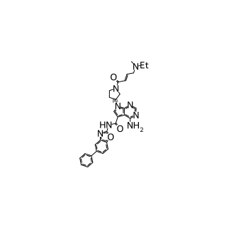 CCN(C)CC=CC(=O)N1CC[C@@H](n2cc(C(=O)Nc3nc4cc(-c5ccccc5)ccc4o3)c3c(N)ncnc32)C1